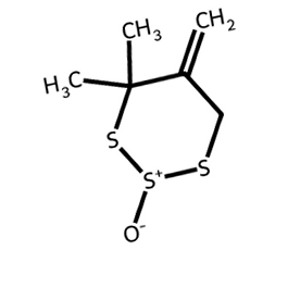 C=C1CS[S+]([O-])SC1(C)C